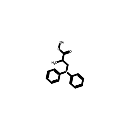 CC(CP(c1ccccc1)c1ccccc1)C(=O)OC(C)(C)C